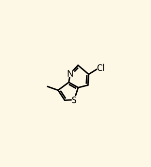 Cc1csc2cc(Cl)cnc12